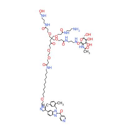 CC(=O)N[C@H]1[C@H](ONCCCNC(=O)CCOCC(COCCC(=O)NCCCN)(COCCC(=O)NCCCNCO)CC(=O)CCOCCOCCC(=O)NCCCCCCCCCCCCOCCn2cc(-c3ccc4nc(C(=O)c5ccncc5)n(Cc5cc(C)ccc5C)c4c3)cn2)O[C@H](CO)[C@H](O)[C@@H]1O